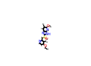 CCOc1ccnc(C[S+]([O-])c2nc3cc(C)c(OC)nc3[nH]2)c1C